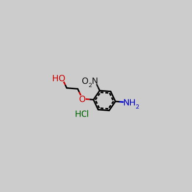 Cl.Nc1ccc(OCCO)c([N+](=O)[O-])c1